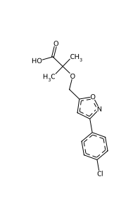 CC(C)(OCc1cc(-c2ccc(Cl)cc2)no1)C(=O)O